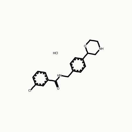 Cl.O=C(NCc1ccc(C2CNCCO2)cc1)c1cccc(Cl)c1